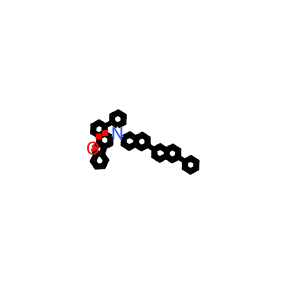 c1ccc(-c2ccc3cc(-c4ccc5cc(N(c6ccc7oc8ccccc8c7c6)c6ccccc6-c6ccccc6)ccc5c4)ccc3c2)cc1